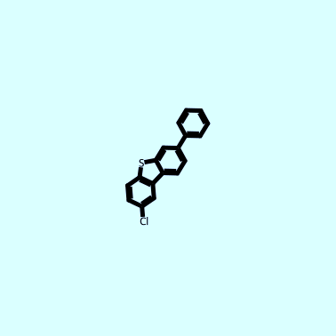 Clc1ccc2sc3cc(-c4ccccc4)ccc3c2c1